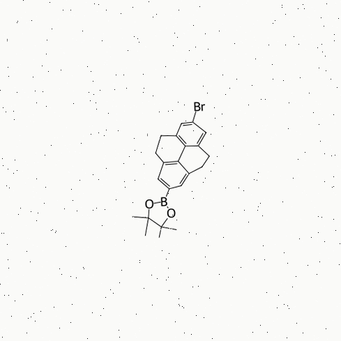 CC1(C)OB(c2cc3c4c(c2)CCc2cc(Br)cc(c2-4)CC3)OC1(C)C